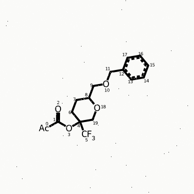 CC(=O)C(=O)OC1(C(F)(F)F)CCC(COCc2ccccc2)OC1